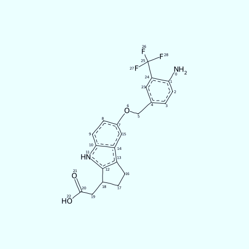 Nc1ccc(COc2ccc3[nH]c4c(c3c2)CCC4CC(=O)O)cc1C(F)(F)F